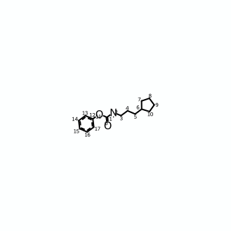 O=C([N]CCCC1CCCC1)Oc1ccccc1